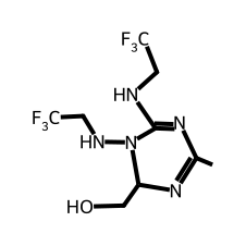 CC1=NC(CO)N(NCC(F)(F)F)C(NCC(F)(F)F)=N1